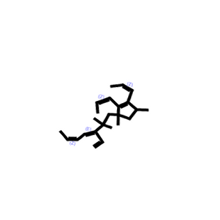 C=C/C(=C\C=C/C)C(C)(C)CC1(C)CC(C)C(/C=C\C)=C1/C=C\C